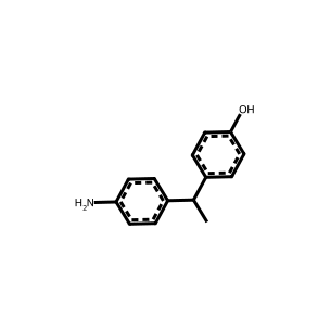 CC(c1ccc(N)cc1)c1ccc(O)cc1